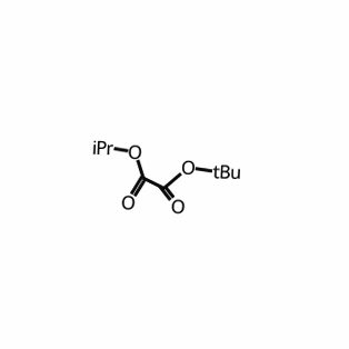 CC(C)OC(=O)C(=O)OC(C)(C)C